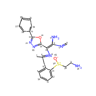 C=N/C(N)=C(\N=C(/C)c1ccccc1[S+]([O-])CCN)c1nnc(-c2ccccc2)o1